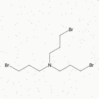 BrCCCN(CCCBr)CCCBr